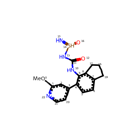 COc1cc(-c2ccc3c(c2NC(=O)N[SH](=N)=O)CCC3)ccn1